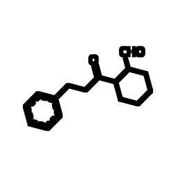 O=CC1CCCCC1C(=O)CCc1ccccc1